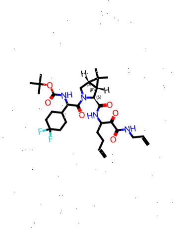 C=CCCC(NC(=O)[C@@H]1[C@@H]2[C@H](CN1C(=O)C(NC(=O)OC(C)(C)C)C1CCC(F)(F)CC1)C2(C)C)C(=O)C(=O)NCC=C